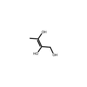 CC(O)=C(O)CO